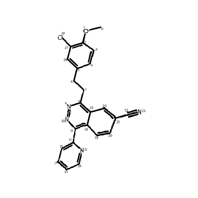 COc1ccc(CCc2nnc(-c3ccccn3)c3ccc(C#N)cc23)cc1Cl